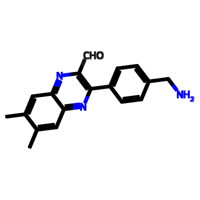 Cc1cc2nc(C=O)c(-c3ccc(CN)cc3)nc2cc1C